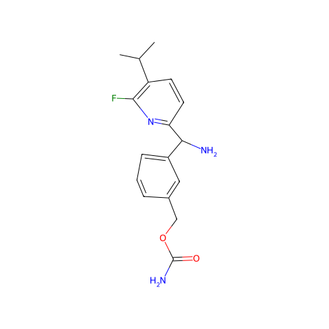 CC(C)c1ccc(C(N)c2cccc(COC(N)=O)c2)nc1F